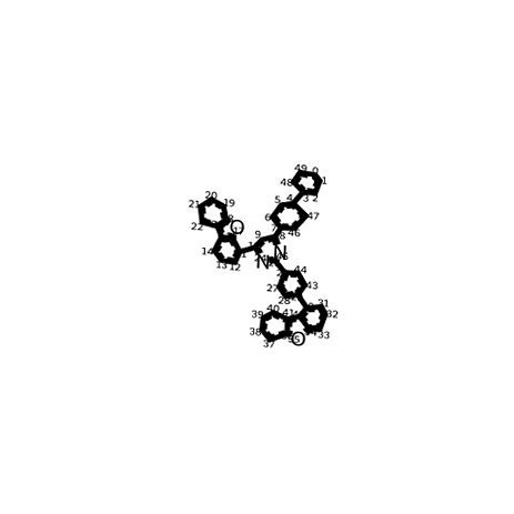 c1ccc(-c2ccc(-c3cc(-c4cccc5c4oc4ccccc45)nc(-c4ccc(-c5cccc6oc7ccccc7c56)cc4)n3)cc2)cc1